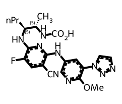 CCC[C@H](Nc1nc(Nc2cnc(OC)c(-n3ccnn3)c2)c(C#N)cc1F)[C@H](C)NC(=O)O